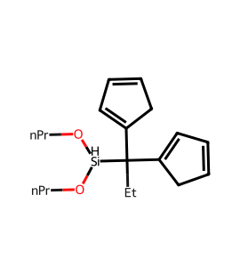 CCCO[SiH](OCCC)C(CC)(C1=CC=CC1)C1=CC=CC1